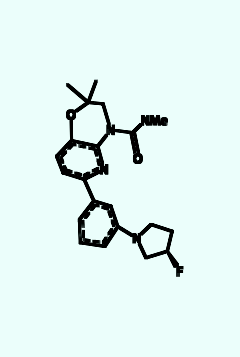 CNC(=O)N1CC(C)(C)Oc2ccc(-c3cccc(N4CC[C@@H](F)C4)c3)nc21